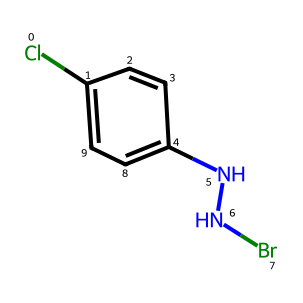 Clc1ccc(NNBr)cc1